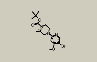 COc1nc(N2CCN(C(=O)OC(C)(C)C)[C@H](C)C2)ncc1Br